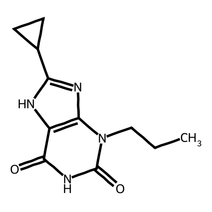 CCCn1c(=O)[nH]c(=O)c2[nH]c(C3CC3)nc21